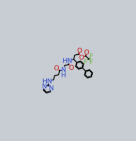 O=C(CCCNc1ncccn1)NCC(=O)NC(CC(=O)OC(=O)C(F)(F)F)c1ccc(-c2ccccc2)cc1